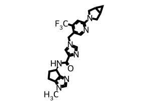 Cn1cnc2c1CC[C@H]2NC(=O)c1cn(Cc2cnc(N3CC4CC4C3)cc2C(F)(F)F)cn1